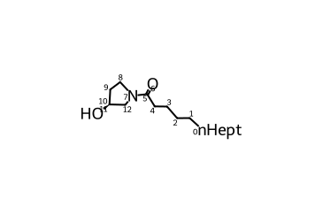 CCCCCCCCCCCC(=O)N1CC[C@H](O)C1